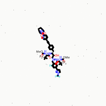 COC(=O)N[C@H](C(=O)N[C@@H](Cc1ccc(C#Cc2ccc(N3CC4CCC(C3)N4C(=O)OC(C)(C)C)nc2)cc1)[C@@H](O)CN(Cc1c(F)cc(-c2ccn(C(F)F)n2)cc1F)NC(=O)[C@@H](NC(=O)OC)C(C)(C)C(F)(F)F)C(C)(C)C(F)(F)F